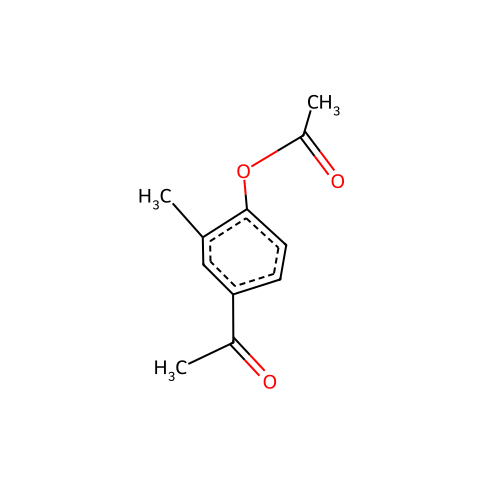 CC(=O)Oc1ccc(C(C)=O)cc1C